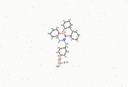 O=C(c1ccccc1-c1ccccc1)N(Cc1ccccc1)Cc1ccc(OC(F)F)cc1